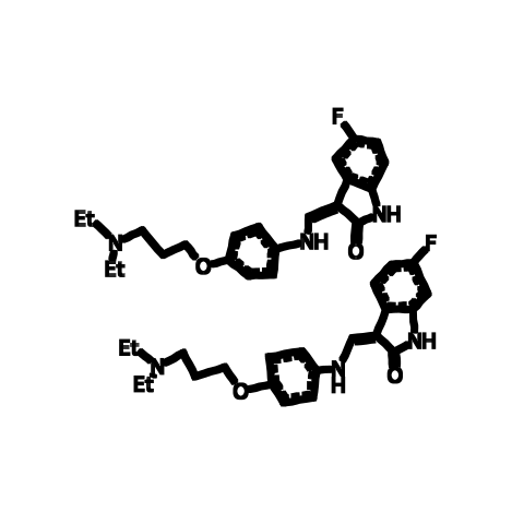 CCN(CC)CCCOc1ccc(NC=C2C(=O)Nc3cc(F)ccc32)cc1.CCN(CC)CCCOc1ccc(NC=C2C(=O)Nc3ccc(F)cc32)cc1